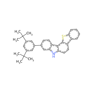 CC(C)(C)c1cc(-c2ccc3c(c2)[nH]c2ccc4c5ccccc5sc4c23)cc(C(C)(C)C)c1